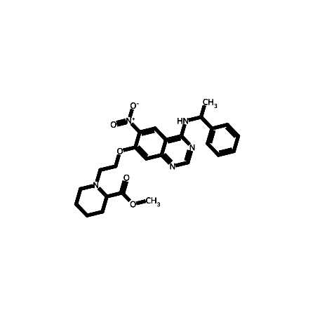 COC(=O)C1CCCCN1CCOc1cc2ncnc(NC(C)c3ccccc3)c2cc1[N+](=O)[O-]